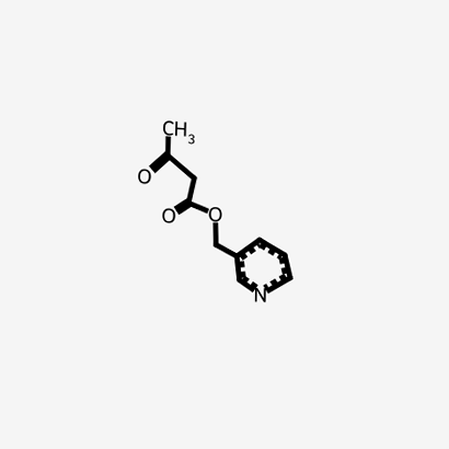 CC(=O)CC(=O)OCc1cccnc1